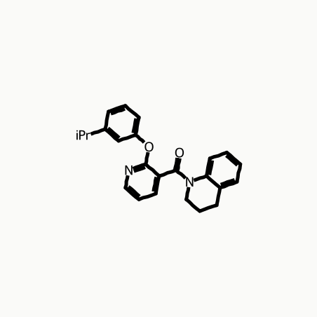 CC(C)c1cccc(Oc2ncccc2C(=O)N2CCCc3ccccc32)c1